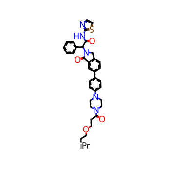 CC(C)CCOCCC(=O)N1CCN(c2ccc(-c3ccc4c(c3)C(=O)N(C(C(=O)Nc3nccs3)c3ccccc3)C4)cc2)CC1